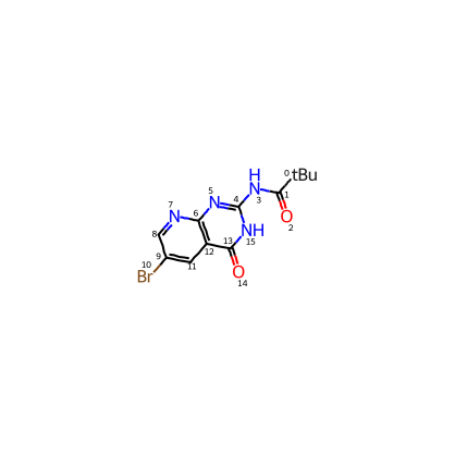 CC(C)(C)C(=O)Nc1nc2ncc(Br)cc2c(=O)[nH]1